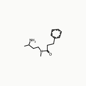 CC(N)CCN(C)C(=O)CCc1ccccc1